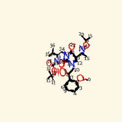 COc1ccccc1C(O)Cn1cc(/C(C)=N/OC(C)C)c(=O)n(C[C@@H](NC(=O)OC(C)(C)C)C(C)C)c1=O